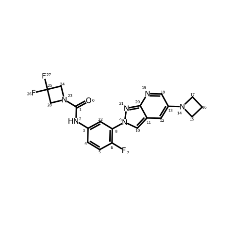 O=C(Nc1ccc(F)c(-n2cc3cc(N4CCC4)cnc3n2)c1)N1CC(F)(F)C1